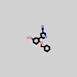 N#Cc1cncc(-c2cc(O)ccc2OCc2ccccc2)c1